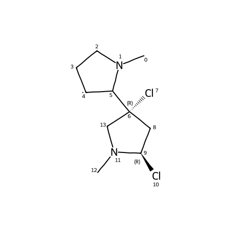 CN1CC[CH]C1[C@@]1(Cl)C[C@@H](Cl)N(C)C1